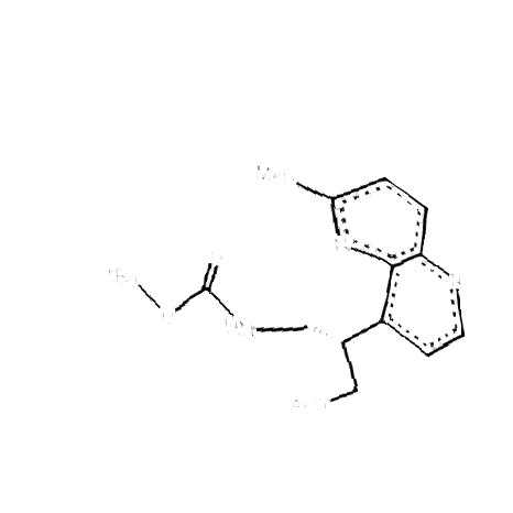 COc1ccc2nccc([C@@H](CNC(=O)OC(C)(C)C)COC(C)=O)c2n1